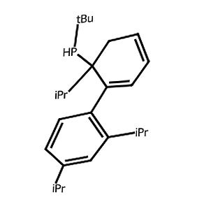 CC(C)c1ccc(C2=CC=CCC2(PC(C)(C)C)C(C)C)c(C(C)C)c1